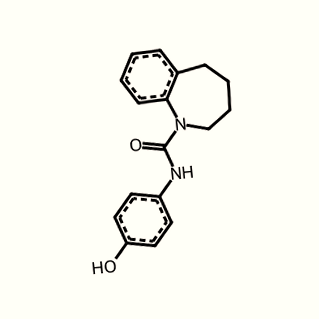 O=C(Nc1ccc(O)cc1)N1CCCCc2ccccc21